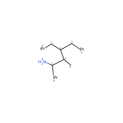 CC(C)CC(CC(C)C)C(C)C(N)C(C)C